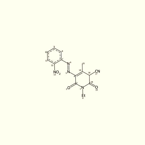 CCN1C(=O)C(N=Nc2ccccc2[N+](=O)[O-])=C(C)C(C#N)C1=O